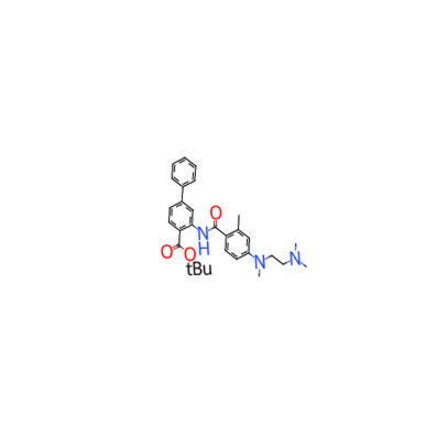 Cc1cc(N(C)CCN(C)C)ccc1C(=O)Nc1cc(-c2ccccc2)ccc1C(=O)OC(C)(C)C